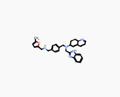 Cc1ccc(CNCc2ccc(CN(Cc3nc4ccccc4[nH]3)C3C=C4C=CC=NC4CC3)cc2)o1